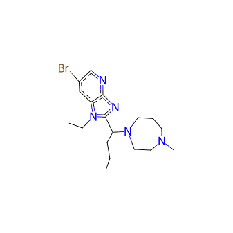 CCCC(c1nc2ncc(Br)cc2n1CC)N1CCCN(C)CC1